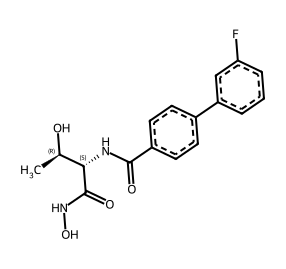 C[C@@H](O)[C@H](NC(=O)c1ccc(-c2cccc(F)c2)cc1)C(=O)NO